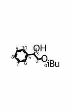 CCC(C)OC[C@H](O)c1ccccc1